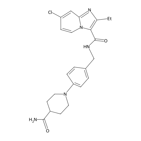 CCc1nc2cc(Cl)ccn2c1C(=O)NCc1ccc(N2CCC(C(N)=O)CC2)cc1